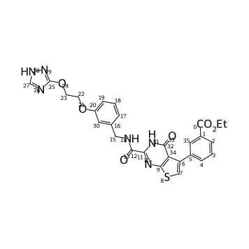 CCOC(=O)c1cccc(-c2csc3nc(C(=O)NCc4cccc(OCCOc5nc[nH]n5)c4)[nH]c(=O)c23)c1